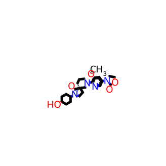 COc1cc(N2CCOC2=O)cnc1N1CCC[C@@]2(CCN(C3CCC(O)CC3)C2=O)C1